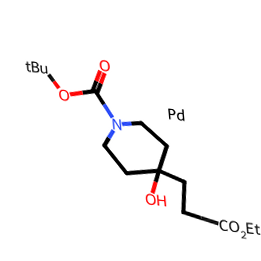 CCOC(=O)CCC1(O)CCN(C(=O)OC(C)(C)C)CC1.[Pd]